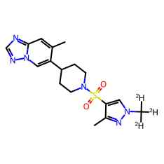 [2H]C([2H])([2H])n1cc(S(=O)(=O)N2CCC(c3cn4ncnc4cc3C)CC2)c(C)n1